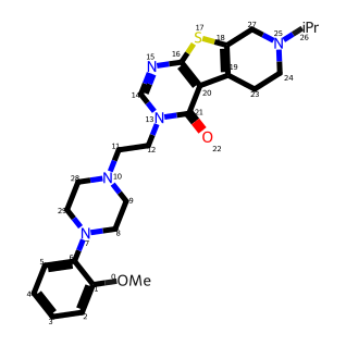 COc1ccccc1N1CCN(CCn2cnc3sc4c(c3c2=O)CCN(C(C)C)C4)CC1